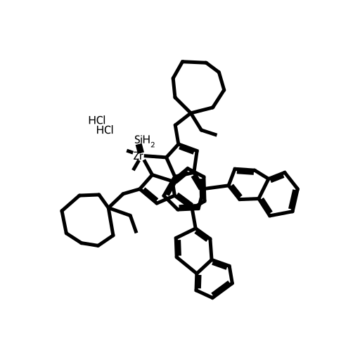 CCC1(CC2=Cc3c(-c4ccc5ccccc5c4)cccc3[CH]2[Zr]([CH3])([CH3])(=[SiH2])[CH]2C(CC3(CC)CCCCCCC3)=Cc3c(-c4ccc5ccccc5c4)cccc32)CCCCCCC1.Cl.Cl